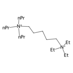 CCC[N+](CCC)(CCC)CCCCC[N+](CC)(CC)CC